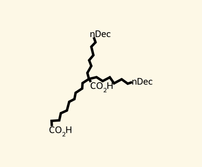 CCCCCCCCCCCCCCCCC(CCCCCCCCCCCCCCCC)(CCCCCCCCCC(=O)O)C(=O)O